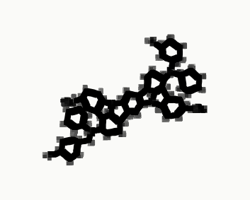 CC(C)(C)c1ccc2c(c1)c1c(N(Cc3ccc(F)cc3)c3ccccc3)ccc3c4cc5c(cc4n2c31)c1ccc(N(c2ccccc2)c2cccc(F)c2)c2c3cc(C(C)(C)C)ccc3n5c12